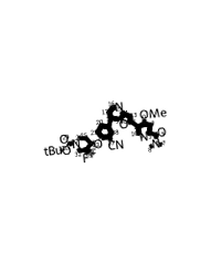 COc1cc(C(=O)N(C)C)ncc1-c1cc2nccc(-c3ccc(OC4CCN(C(=O)OC(C)(C)C)CC4(F)F)c(C#N)c3)c2o1